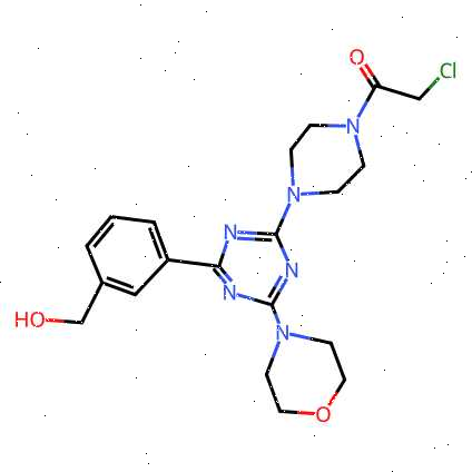 O=C(CCl)N1CCN(c2nc(-c3cccc(CO)c3)nc(N3CCOCC3)n2)CC1